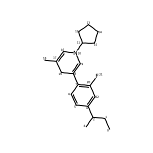 CCC(C)c1ccc(C2=CN(C3CCCC3)C=C(C)C2)c(F)c1